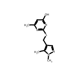 Cc1cc(O)nc(SCc2cnn(C)c2C)n1